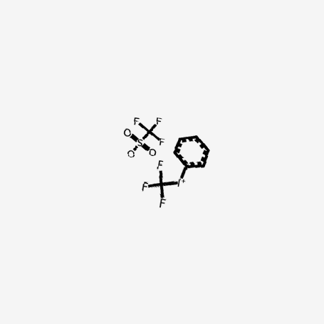 FC(F)(F)[I+]c1ccccc1.O=S(=O)([O-])C(F)(F)F